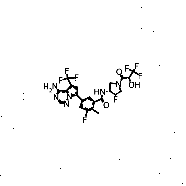 Cc1c(F)cc(-c2cc(C(F)(F)F)c3c(N)ncnn23)cc1C(=O)N[C@@H]1CN(C(=O)C(O)C(F)(F)F)C[C@@H]1F